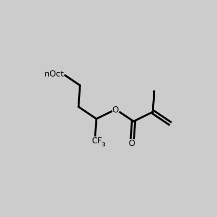 C=C(C)C(=O)OC(CCCCCCCCCC)C(F)(F)F